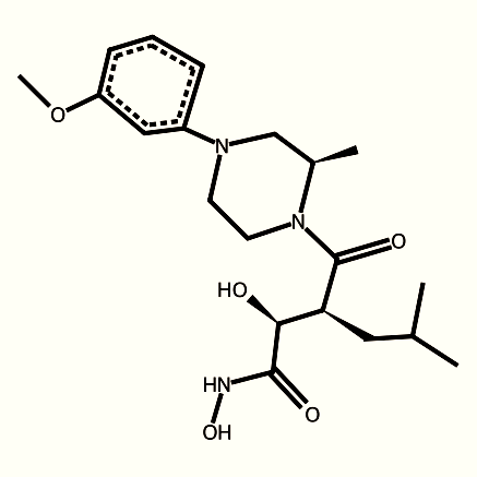 COc1cccc(N2CCN(C(=O)[C@@H](CC(C)C)[C@H](O)C(=O)NO)[C@H](C)C2)c1